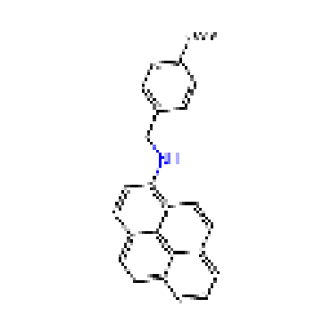 COc1ccc(CNc2ccc3ccc4cccc5ccc2c3c45)cc1